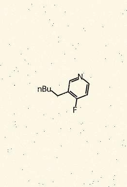 CCCCCc1cnccc1F